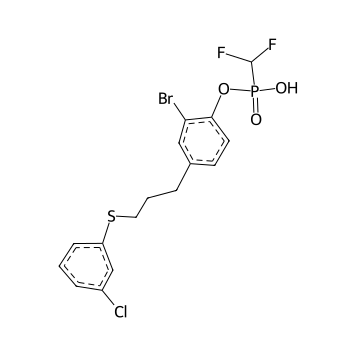 O=P(O)(Oc1ccc(CCCSc2cccc(Cl)c2)cc1Br)C(F)F